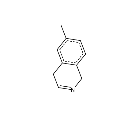 Cc1ccc2c(c1)CC=NC2